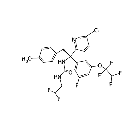 Cc1ccc(C[C@](NC(=O)NCC(F)F)(c2cc(F)cc(OC(F)(F)C(F)F)c2)c2ccc(Cl)cn2)cc1